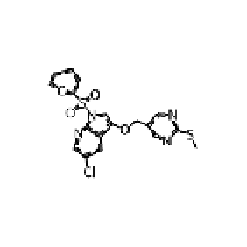 CSc1ncc(COc2cn(S(=O)(=O)c3ccccc3)c3ncc(Cl)cc23)cn1